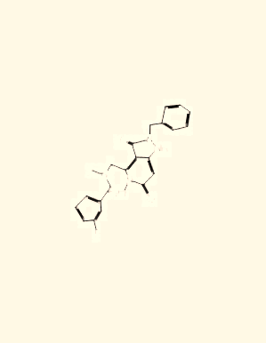 CCCCn1c(CN(C)Cc2cccc(F)c2)c2c(=O)n(Cc3ccccc3)[nH]c2cc1=O